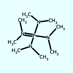 CN(C)P(N(C)C)(N(C)C)=[N+](C)C